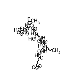 C=C/C=C\C=C\CC(NC(=O)CNC(=O)CNC(=O)CCCCCC1C(=O)C=CC1=O)C(=O)NCC(=O)NCCN(CCO)CCC(=O)NC1CCc2c(C)c(F)cc3nc4c(c1c23)Cn1c-4cc2c(c1=O)COC(=O)[C@]2(O)CC